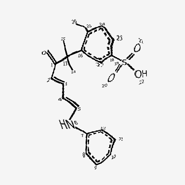 C=C(/C=C/C=C/Nc1ccccc1)C(C)(C)c1cc(S(=O)(=O)O)ccc1C